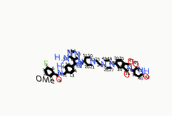 COc1ccc(F)cc1C(=O)NCc1ccc(-c2nn(C3CCN(CCN4CCN(c5ccc6c(c5)C(=O)N(C5CCC(=O)NC5=O)C6=O)CC4)CC3)c3ncnc(N)c23)cc1